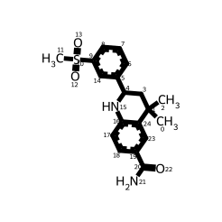 CC1(C)CC(c2cccc(S(C)(=O)=O)c2)Nc2ccc(C(N)=O)cc21